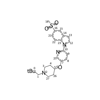 CC(C)(C)CN1CCC(Oc2ccc(-n3ccc4cc(S(C)(=O)=O)ccc43)nc2)CC1